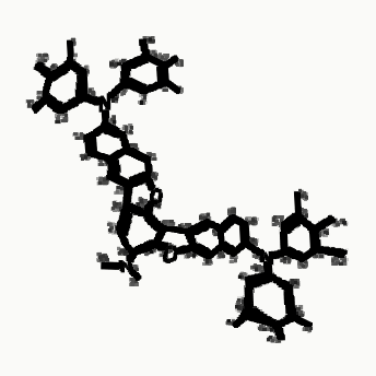 Cc1cc(N(c2cc(C)c(C)c(C)c2)c2ccc3cc4c(cc3c2)oc2c4cc(N(C)C)c3oc4cc5cc(N(c6cc(C)c(C)c(C)c6)c6cc(C)c(C)c(C)c6)ccc5cc4c32)cc(C)c1C